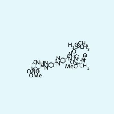 COC(=O)N[C@H]1CCc2ccn3c2C1C(=O)C[C@H](c1nc2ccc(-c4cnc5cc(-c6cn(COCC[Si](C)(C)C)c([C@@H]7CCCN7C(=O)[C@@H](OC)C(C)CN=C=O)n6)ccc5n4)cc2[nH]1)C3